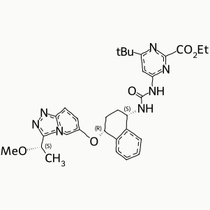 CCOC(=O)c1nc(NC(=O)N[C@H]2CC[C@@H](Oc3ccc4nnc([C@H](C)OC)n4c3)c3ccccc32)cc(C(C)(C)C)n1